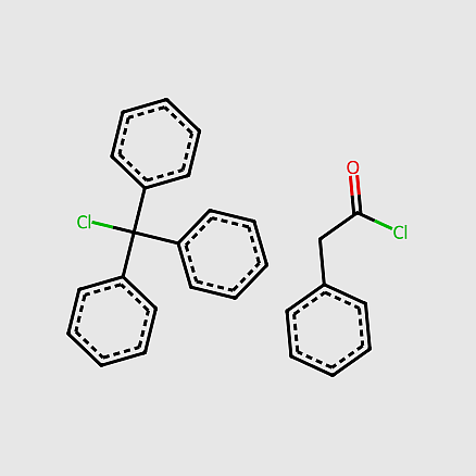 ClC(c1ccccc1)(c1ccccc1)c1ccccc1.O=C(Cl)Cc1ccccc1